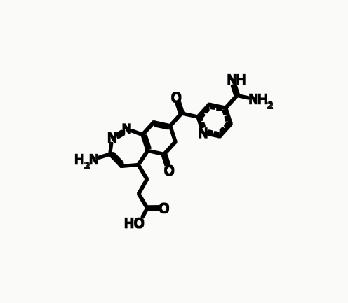 N=C(N)c1ccnc(C(=O)C2=CC3=C(C(=O)C2)C(CCC(=O)O)C=C(N)N=N3)c1